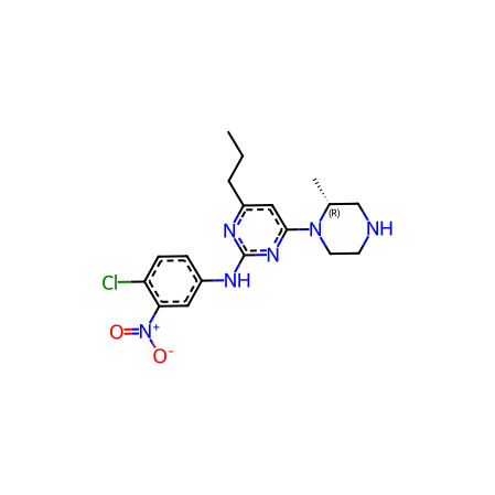 CCCc1cc(N2CCNC[C@H]2C)nc(Nc2ccc(Cl)c([N+](=O)[O-])c2)n1